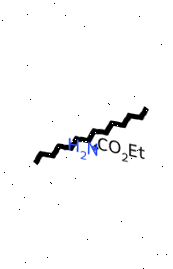 CCCCCCCCCCCCCC.CCOC(N)=O